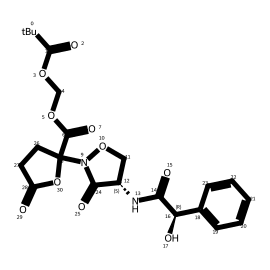 CC(C)(C)C(=O)OCOC(=O)C1(N2OC[C@H](NC(=O)[C@H](O)c3ccccc3)C2=O)CCC(=O)O1